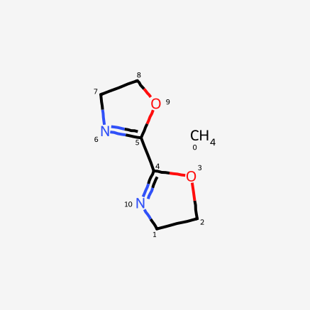 C.C1COC(C2=NCCO2)=N1